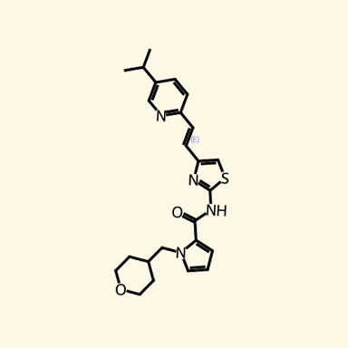 CC(C)c1ccc(/C=C/c2csc(NC(=O)c3cccn3CC3CCOCC3)n2)nc1